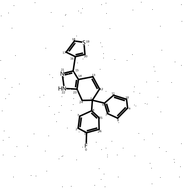 Fc1ccc(C2(c3ccccc3)C=Cc3c(-c4ccsc4)n[nH]c3C2)cc1